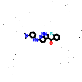 CN(C)c1cccc(Nc2ccc3c(C(=O)c4ccccc4F)c[nH]c3n2)c1